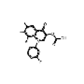 O=C(O)Oc1cn(-c2cccc(F)c2)c2c(F)c(F)c(F)cc2c1=O